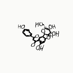 O=c1cc(-c2ccc(O)cc2)oc2c3c(cc(O)c12)O[C@@H]1C3O[C@H](CO)[C@@H](O)[C@@H]1O